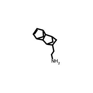 NCCC1CC2CC1C1C3C=CC(C3)C21